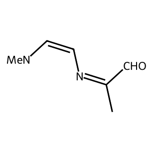 CN/C=C\N=C(\C)C=O